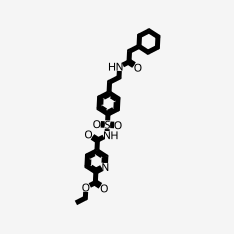 CCOC(=O)c1ccc(C(=O)NS(=O)(=O)c2ccc(CCNC(=O)CC3CCCCC3)cc2)cn1